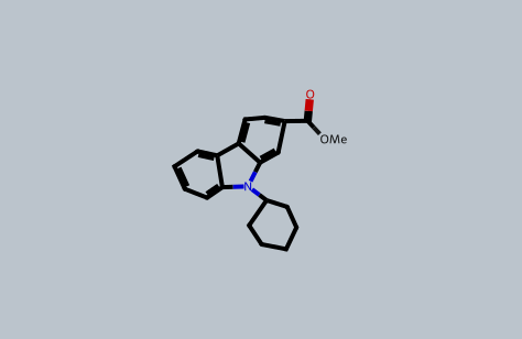 COC(=O)c1ccc2c3ccccc3n(C3CCCCC3)c2c1